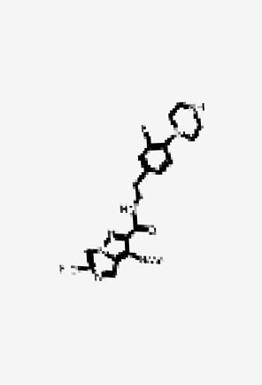 CNc1c(C(=O)NCCc2ccc(N3CCNCC3)c(F)c2)nn2cc(C(F)(F)F)ncc12